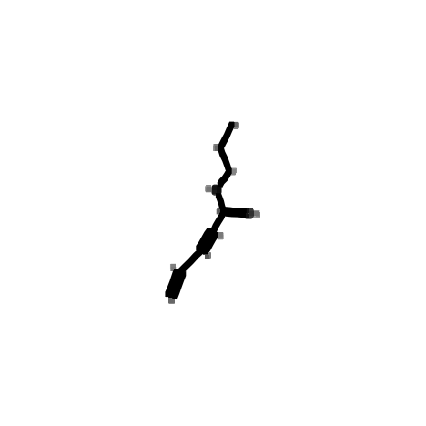 C#CC#CC(=O)OCCC